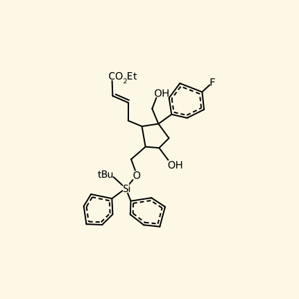 CCOC(=O)/C=C/CC1C(CO[Si](c2ccccc2)(c2ccccc2)C(C)(C)C)C(O)CC1(CO)c1ccc(F)cc1